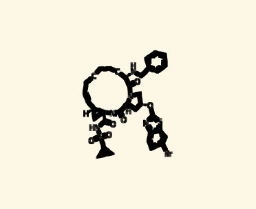 O=C1N[C@]2(C(=O)NS(=O)(=O)C3CC3)C[C@H]2/C=C\CCCCC[C@H](NCc2ccccc2)C(=O)N2C[C@H](Oc3nc4ccc(Br)cc4s3)C[C@@H]12